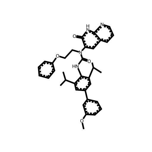 COc1cccc(-c2cc(C(C)C)c(NC(=O)N(CCOc3ccccc3)c3cc4cccnc4[nH]c3=O)c(C(C)C)c2)c1